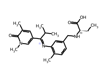 CC[C@H](NCc1ccc(C)c(/N=C(/c2cc(C)c(=O)n(C)c2)C(C)C)c1)C(=O)O